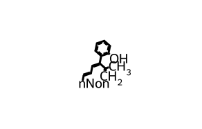 C=C(C)C(=CC=CCCCCCCCCC)c1ccccc1O